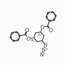 [N-]=[N+]=NC1C[C@@H](OC(=O)c2ccccc2)C[C@@H](OC(=O)c2ccccc2)C1